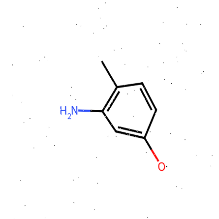 Cc1ccc([O])cc1N